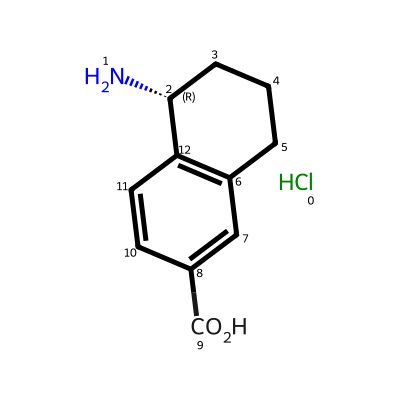 Cl.N[C@@H]1CCCc2cc(C(=O)O)ccc21